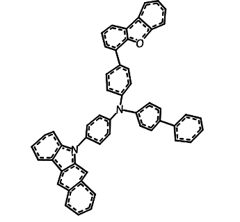 c1ccc(-c2ccc(N(c3ccc(-c4cccc5c4oc4ccccc45)cc3)c3ccc(-n4c5ccccc5c5cc6ccccc6cc54)cc3)cc2)cc1